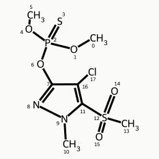 COP(=S)(OC)Oc1nn(C)c(S(C)(=O)=O)c1Cl